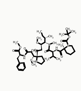 CC[C@H](C)[C@@H]([C@@H](CC(=O)[C@@]1([C@H](OC)[C@@H](C)C(=O)N[C@@H](Cc2ccccc2)C(=O)OC)CCCN1)OC)N(C)C(=O)[C@@H](NC(=O)[C@]1(C)CCCCN1C(=O)OC(C)(C)C)C(C)C